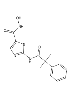 CC(C)(C(=O)Nc1ncc(C(=O)NO)s1)c1ccccc1